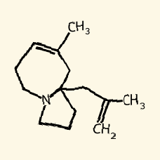 C=C(C)CC12CCCN1CCC=C(C)C2